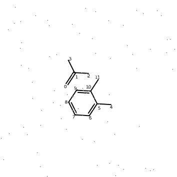 C=C(C)C.Cc1ccccc1C